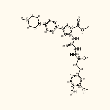 COC(=O)c1cc(-c2ccc(N3CCN(C)CC3)cc2)sc1NC(=S)NNC(=O)CCc1ccc(O)c(O)c1